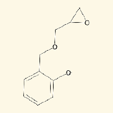 [O]c1ccccc1COCC1CO1